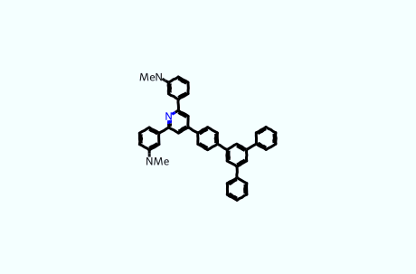 CNc1cccc(-c2cc(-c3ccc(-c4cc(-c5ccccc5)cc(-c5ccccc5)c4)cc3)cc(-c3cccc(NC)c3)n2)c1